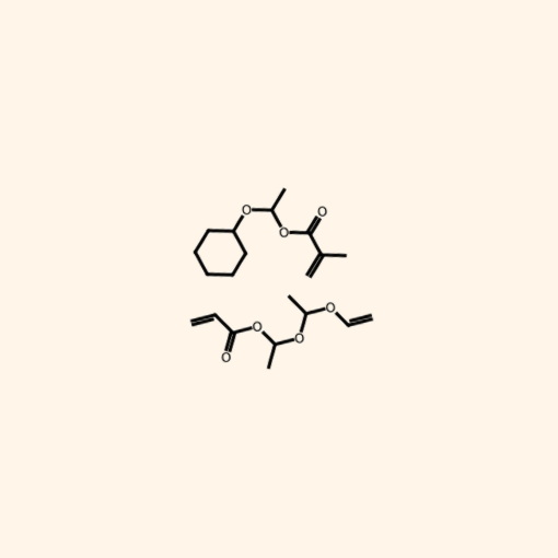 C=C(C)C(=O)OC(C)OC1CCCCC1.C=COC(C)OC(C)OC(=O)C=C